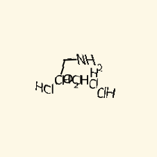 Cl.Cl.Cl.Cl.NCC(=O)O